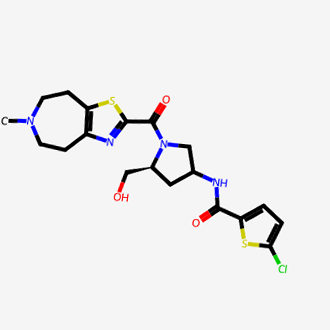 CN1CCc2nc(C(=O)N3CC(NC(=O)c4ccc(Cl)s4)C[C@H]3CO)sc2CC1